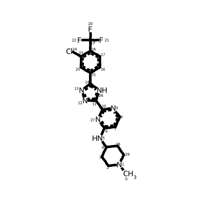 CN1CCC(Nc2ccnc(-c3nnc(-c4ccc(C(F)(F)F)c(Cl)c4)[nH]3)n2)CC1